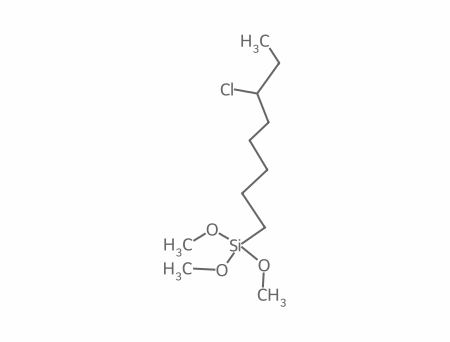 CCC(Cl)CCCCC[Si](OC)(OC)OC